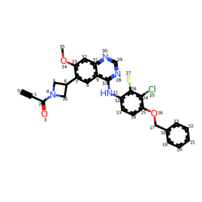 C#CC(=O)N1CC(c2cc3c(Nc4ccc(OCc5ccccc5)c(Cl)c4F)ncnc3cc2OC)C1